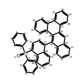 O=P(c1ccccc1)(c1ccccc1)c1ccc(-c2c3ccccc3cc3c4ccccc4c4ccccc4c23)c2ccccc12